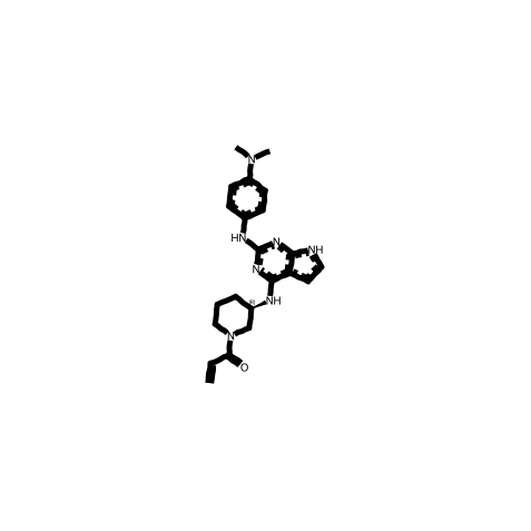 C=CC(=O)N1CCC[C@@H](Nc2nc(Nc3ccc(N(C)C)cc3)nc3[nH]ccc23)C1